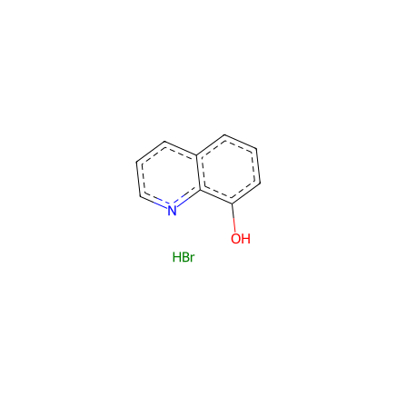 Br.Oc1cccc2cccnc12